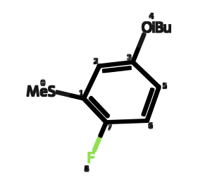 CSc1cc(OCC(C)C)ccc1F